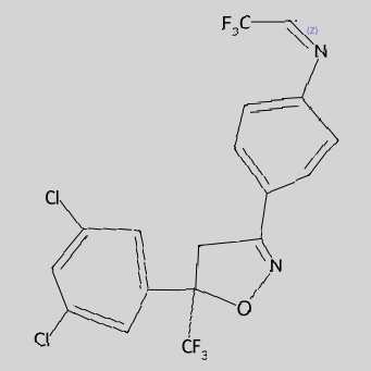 FC(F)(F)/[C]=N\c1ccc(C2=NOC(c3cc(Cl)cc(Cl)c3)(C(F)(F)F)C2)cc1